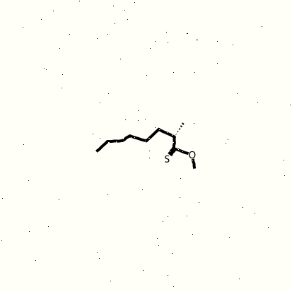 CCCCCC[C@H](C)C(=S)OC